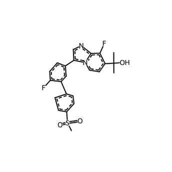 CC(C)(O)c1ccn2c(-c3ccc(F)c(-c4ccc(S(C)(=O)=O)cc4)c3)cnc2c1F